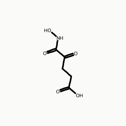 O=C(O)CCC(=O)C(=O)NO